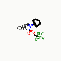 O=[C]CN(C(=O)OCC(Br)(Br)Br)c1ccccc1